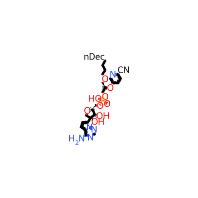 CCCCCCCCCCCCCCOC[C@H](COP(=O)(O)OC[C@H]1OC[C@](O)(c2ccc3c(N)ncnn23)[C@@H]1O)Oc1ccc(C#N)nc1